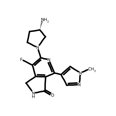 Cn1cc(-c2nc(N3CC[C@H](N)C3)c(F)c3c2C(=O)NC3)cn1